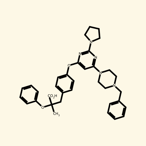 CC(Cc1ccc(Oc2cc(N3CCN(Cc4ccccc4)CC3)nc(N3CCCC3)n2)cc1)(Oc1ccccc1)C(=O)O